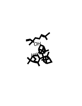 C=CC(C)(O)CCC=C(C)C.CC1=C2CC(CC1C1(C3C(C)=C4CC(C3O)C4(C)C)CC3CC(=C1C)C3(C)C)C2(C)C